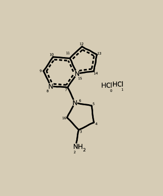 Cl.Cl.NC1CCN(c2nccc3cccn23)C1